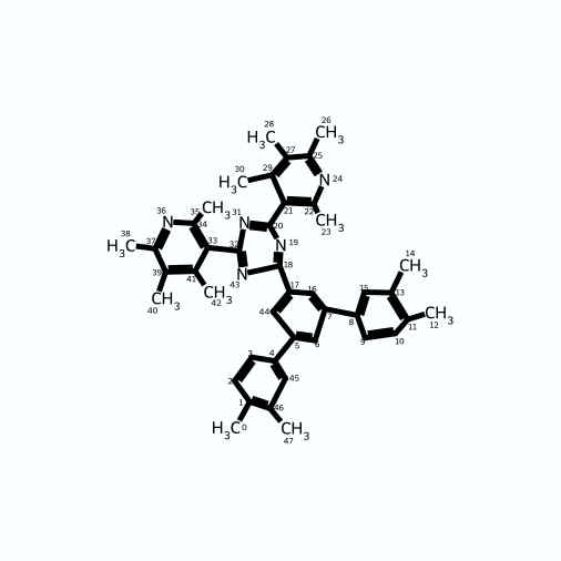 Cc1ccc(-c2cc(-c3ccc(C)c(C)c3)cc(-c3nc(-c4c(C)nc(C)c(C)c4C)nc(-c4c(C)nc(C)c(C)c4C)n3)c2)cc1C